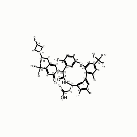 Cc1cc2cc(c1F)[C@H](CC(=O)O)NC(=O)[C@@H](n1cc(CCN3CC(F)C3)c(C(F)(F)F)cc1=O)c1cc(ccc1F)Oc1cc(C(F)(F)F)cc(C)c1-2